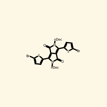 CCCCCCCCCCN1C(=O)C2=C(c3ccc(Br)s3)N(CCCCCCCCCC)C(=O)C2=C1c1ccc(Br)s1